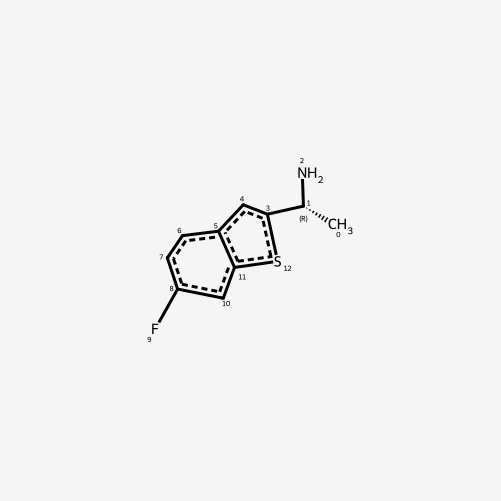 C[C@@H](N)c1cc2ccc(F)cc2s1